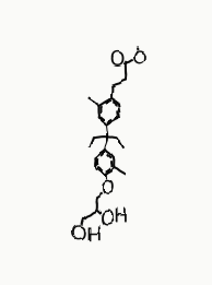 CCC(CC)(c1ccc(CCC(=O)OC)c(C)c1)c1ccc(OCC(O)CO)c(C)c1